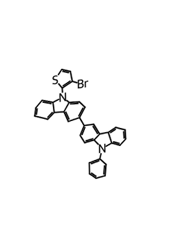 Brc1ccsc1-n1c2ccccc2c2cc(-c3ccc4c(c3)c3ccccc3n4-c3ccccc3)ccc21